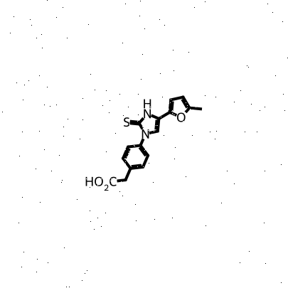 Cc1ccc(-c2cn(-c3ccc(CC(=O)O)cc3)c(=S)[nH]2)o1